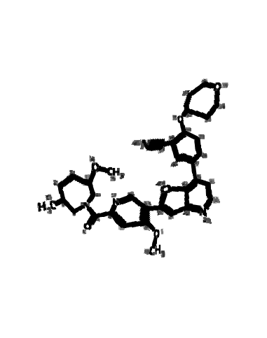 COc1cc(C(=O)N2CC(C)CCC(OC)C2)ncc1-c1cc2nccc(-c3ccc(OC4CCOCC4)c(C#N)c3)c2o1